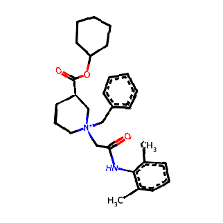 Cc1cccc(C)c1NC(=O)C[N+]1(Cc2ccccc2)CCCC(C(=O)OC2CCCCC2)C1